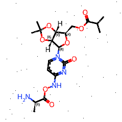 CC(C)C(=O)OC[C@H]1O[C@@H](n2ccc(NOC(=O)[C@@H](C)N)nc2=O)[C@@H]2OC(C)(C)O[C@@H]21